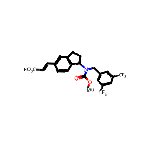 CC(C)(C)OC(=O)N(Cc1cc(C(F)(F)F)cc(C(F)(F)F)c1)C1CCc2cc(/C=C/C(=O)O)ccc21